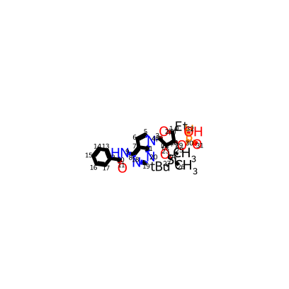 CC[C@H]1O[C@@H](n2ccc3c(NC(=O)c4ccccc4)ncnc32)[C@H](O[Si](C)(C)C(C)(C)C)[C@@H]1O[PH](=O)O